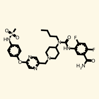 CCCCN(C(=O)Nc1cc(C(N)=O)c(F)cc1F)C1CCN(Cc2cnc(Oc3ccc(NS(C)(=O)=O)cc3)cn2)CC1